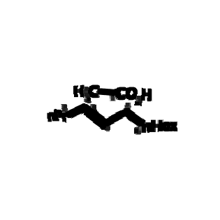 CC(=O)O.CCC/C=C/CCCCCCC